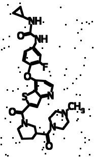 CN1CCN(C(=O)C2CCCN(C(=O)c3cc4nccc(Oc5ccc(NC(=O)NC6CC6)cc5F)c4s3)C2)CC1